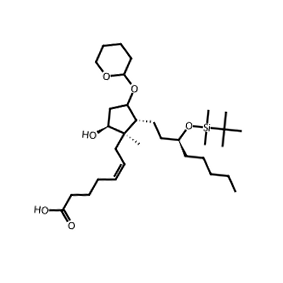 CCCCC[C@@H](CC[C@H]1C(OC2CCCCO2)C[C@H](O)[C@]1(C)C/C=C\CCCC(=O)O)O[Si](C)(C)C(C)(C)C